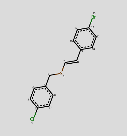 Clc1ccc(CSC=Cc2ccc(Br)cc2)cc1